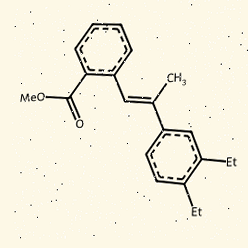 CCc1ccc(/C(C)=C/c2ccccc2C(=O)OC)cc1CC